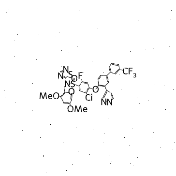 COc1ccc(CN(c2ncns2)S(=O)(=O)c2cc(Cl)c(Oc3ccc(-c4cccc(C(F)(F)F)c4)cc3-c3ccnnc3)cc2F)c(OC)c1